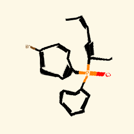 C/C=C\C=C(/C)P(=O)(c1ccccc1)c1ccc(Br)cc1